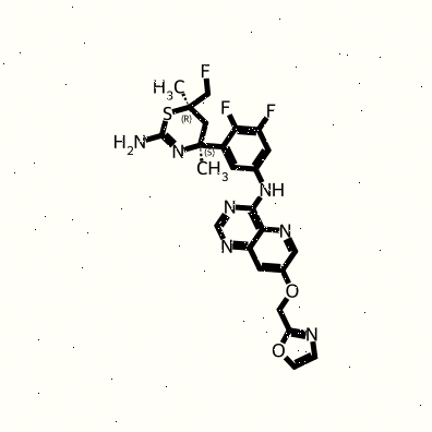 C[C@]1(CF)C[C@@](C)(c2cc(Nc3ncnc4cc(OCc5ncco5)cnc34)cc(F)c2F)N=C(N)S1